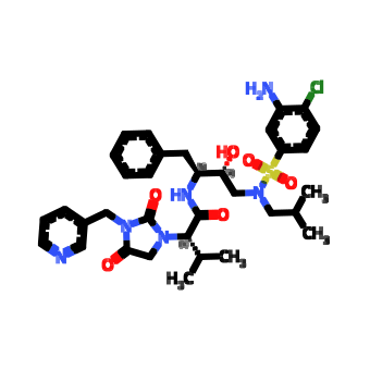 CC(C)CN(C[C@@H](O)[C@H](Cc1ccccc1)NC(=O)[C@H](C(C)C)N1CC(=O)N(Cc2cccnc2)C1=O)S(=O)(=O)c1ccc(Cl)c(N)c1